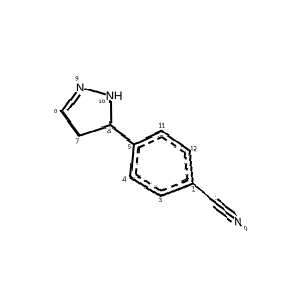 N#Cc1ccc(C2CC=NN2)cc1